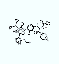 CCC(=O)N[C@@H](C(=O)N1CCN(C)CC1)[C@@H](C)c1ccc(NC(=O)[C@@H](NC(=O)c2ccnn2CCF)C(C2CC2)C2CC2)c(F)c1